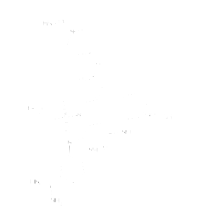 CC(=N)N1CCC(Oc2ccc(N(C(CC(=O)NC3CCCCC3)c3nc4cc(C(=N)N)ccc4[nH]3)S(=O)(=O)CC(=O)O)cc2)CC1.Cl.Cl